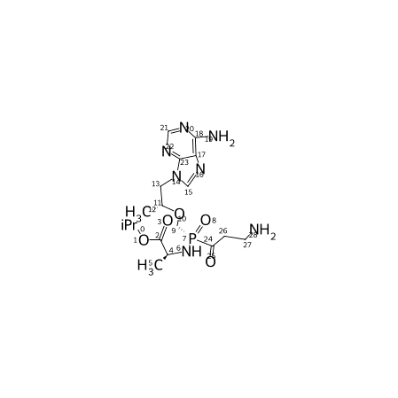 CC(C)OC(=O)[C@H](C)N[P@](=O)(CO[C@H](C)Cn1cnc2c(N)ncnc21)C(=O)CCN